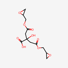 O=C(CC(O)(CC(=O)OCC1CO1)C(=O)O)OCC1CO1